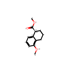 COC(=O)[C@H]1CCCc2c(OC)cccc21